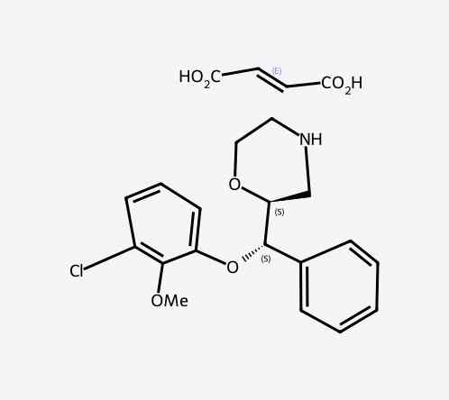 COc1c(Cl)cccc1O[C@@H](c1ccccc1)[C@@H]1CNCCO1.O=C(O)/C=C/C(=O)O